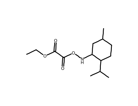 CCOC(=O)C(=O)ONC1CC(C)CCC1C(C)C